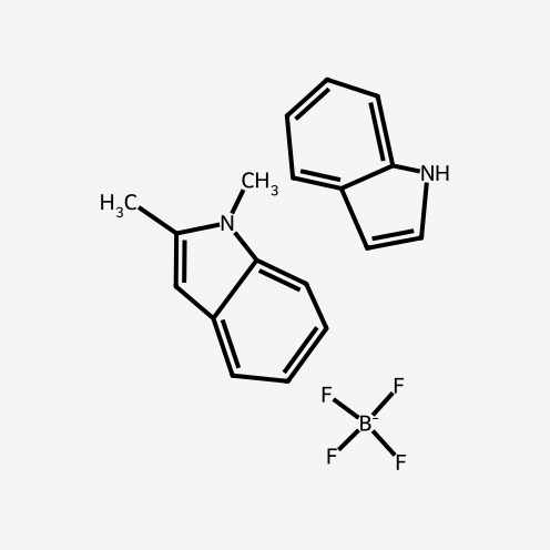 Cc1cc2ccccc2n1C.F[B-](F)(F)F.c1ccc2[nH]ccc2c1